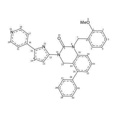 COc1ccccc1CN1C(=O)N(c2csc(-c3ccncc3)n2)Cc2c(-c3ccccc3)cccc21